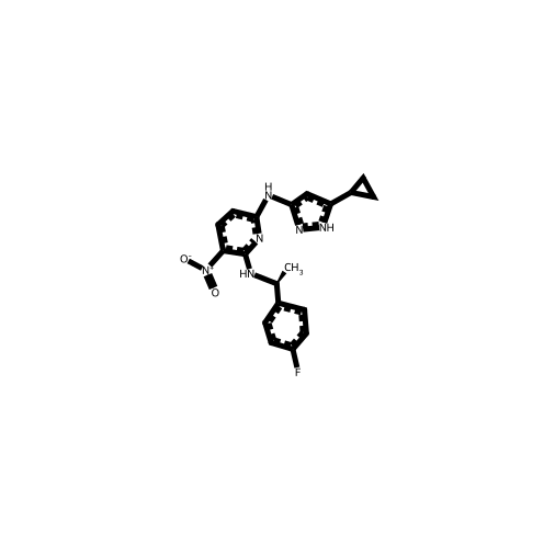 C[C@H](Nc1nc(Nc2cc(C3CC3)[nH]n2)ccc1[N+](=O)[O-])c1ccc(F)cc1